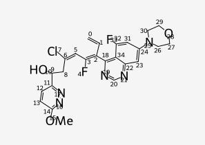 C=C/C(=C(F)\C=C(\Cl)CC(O)c1ccc(OC)nn1)c1ncnc2cc(N3CCOCC3)cc(F)c12